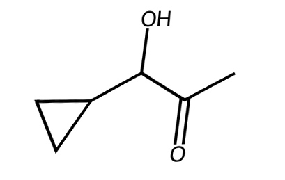 CC(=O)C(O)C1CC1